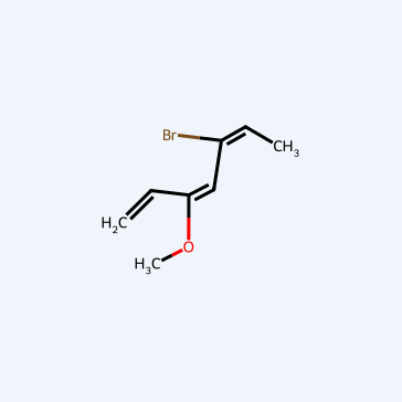 C=C/C(=C\C(Br)=C/C)OC